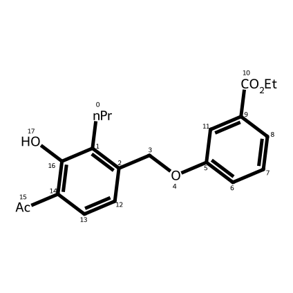 CCCc1c(COc2cccc(C(=O)OCC)c2)ccc(C(C)=O)c1O